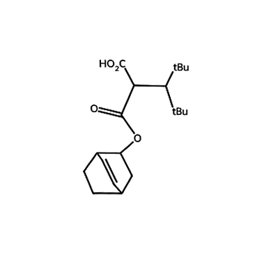 CC(C)(C)C(C(C(=O)O)C(=O)OC1CC2C=CC1CC2)C(C)(C)C